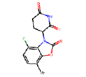 CC(C)c1ccc(F)c2c1oc(=O)n2C1CCC(=O)NC1=O